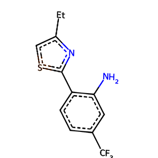 CCc1csc(-c2ccc(C(F)(F)F)cc2N)n1